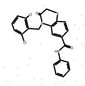 O=C(Nc1ccccc1)c1ccc2c(c1)N(Cc1c(Cl)cccc1Cl)C(=O)CS2